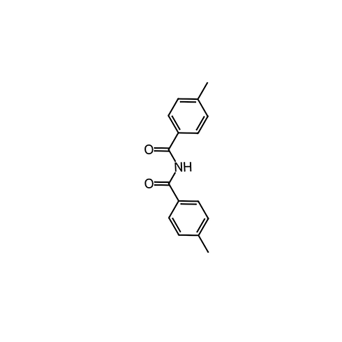 Cc1ccc(C(=O)NC(=O)c2ccc(C)cc2)cc1